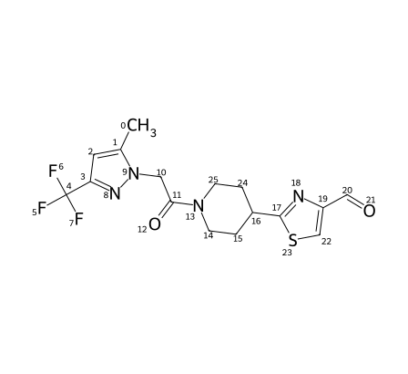 Cc1cc(C(F)(F)F)nn1CC(=O)N1CCC(c2nc(C=O)cs2)CC1